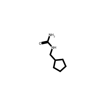 NC(=O)NCC1CCCC1